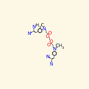 CCN(CCC(=O)OCCOC(=O)CCN(CC)c1ccc(C=C(C#N)C#N)cc1)c1ccc(C=C(C#N)C#N)cc1